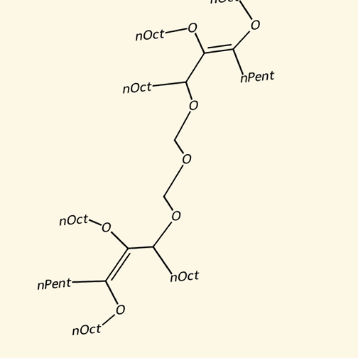 CCCCCCCCOC(CCCCC)=C(OCCCCCCCC)C(CCCCCCCC)OCOCOC(CCCCCCCC)C(OCCCCCCCC)=C(CCCCC)OCCCCCCCC